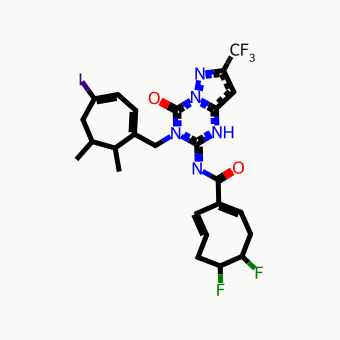 CC1CC(I)=CC=C(Cn2c(=O)n3nc(C(F)(F)F)cc3[nH]/c2=N\C(=O)C2=C/CC(F)C(F)C\C=C\2)C1C